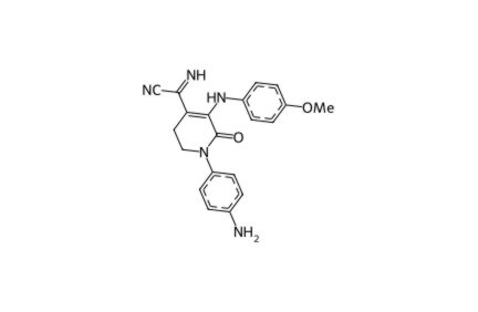 COc1ccc(NC2=C(C(=N)C#N)CCN(c3ccc(N)cc3)C2=O)cc1